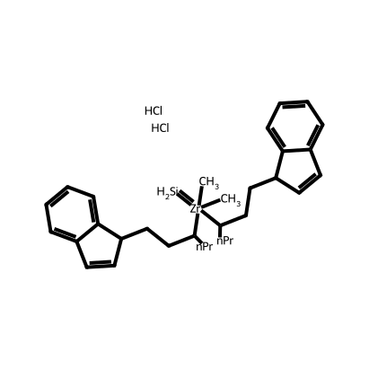 CCC[CH](CCC1C=Cc2ccccc21)[Zr]([CH3])([CH3])(=[SiH2])[CH](CCC)CCC1C=Cc2ccccc21.Cl.Cl